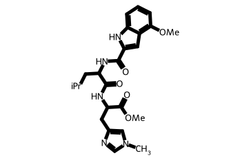 COC(=O)C(Cc1cn(C)cn1)NC(=O)C(CC(C)C)NC(=O)c1cc2c(OC)cccc2[nH]1